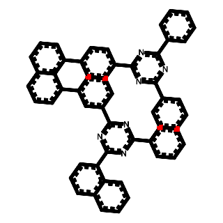 c1ccc(-c2nc(-c3ccccc3)nc(-c3ccc(-c4cccc5cccc(-c6cccc(-c7nc(-c8ccccc8)nc(-c8cccc9ccccc89)n7)c6)c45)cc3)n2)cc1